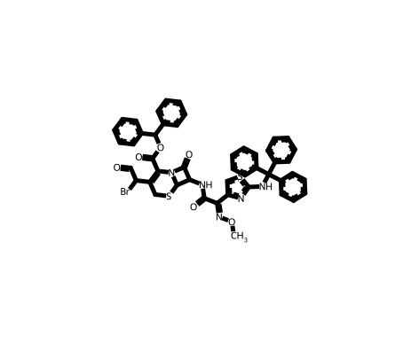 CO/N=C(/C(=O)NC1C(=O)N2C(C(=O)OC(c3ccccc3)c3ccccc3)=C(C(Br)C=O)CSC12)c1csc(NC(c2ccccc2)(c2ccccc2)c2ccccc2)n1